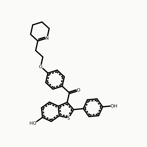 O=C(c1ccc(OCCC2=NCCCC2)cc1)c1c(-c2ccc(O)cc2)sc2cc(O)ccc12